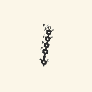 Cc1cc(C)c(C#Cc2ccc(-c3ccc(-c4cc(F)c(-c5cc(F)c(OC(F)(F)F)c(F)c5)c(F)c4)c(F)c3)c(F)c2)c(F)c1